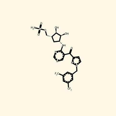 NS(=O)(=O)OC[C@H]1C[C@@H](Nc2ncncc2C(=O)c2ccn(Cc3cc(C(F)(F)F)cc(C(F)(F)F)c3)n2)[C@H](O)[C@@H]1O